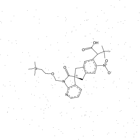 CC(C)(C)C(C(=O)O)c1cc2c(cc1[N+](=O)[O-])C[C@]1(C2)C(=O)N(COCC[Si](C)(C)C)c2ncccc21